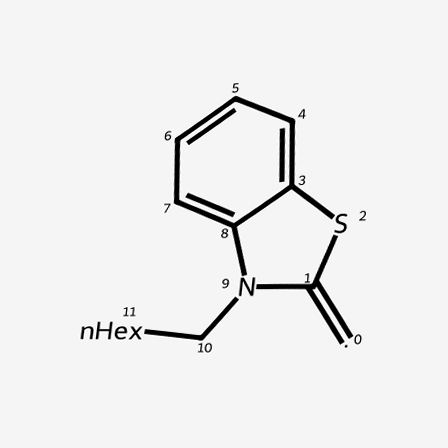 [CH]=C1Sc2ccccc2N1CCCCCCC